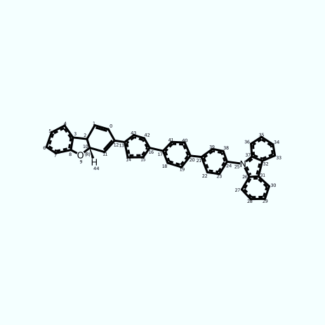 C1=CC2c3ccccc3O[C@H]2C=C1c1ccc(-c2ccc(-c3ccc(-n4c5ccccc5c5ccccc54)cc3)cc2)cc1